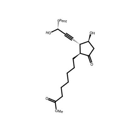 CCCCC[C@@H](O)C#C[C@H]1[C@H](CCCCCCC(=O)OC)C(=O)C[C@@H]1O